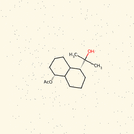 CC(=O)O[C@@H]1CCCC2C1CCC[C@H]2C(C)(C)O